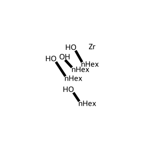 CCCCCCO.CCCCCCO.CCCCCCO.CCCCCCO.[Zr]